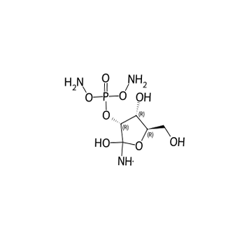 [NH]C1(O)O[C@H](CO)[C@@H](O)[C@H]1OP(=O)(ON)ON